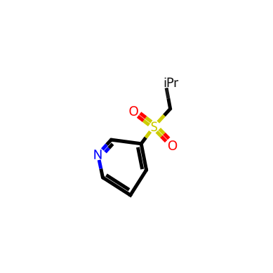 CC(C)CS(=O)(=O)c1cccnc1